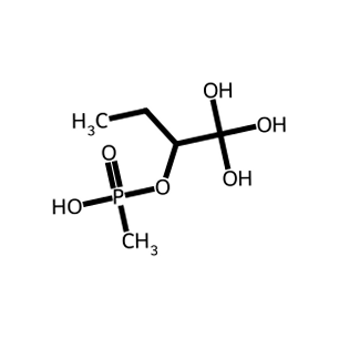 CCC(OP(C)(=O)O)C(O)(O)O